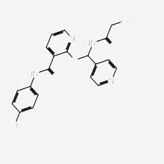 CC(=O)OCC(=O)NC(Sc1ncccc1C(=O)Nc1ccc(C(C)(C)C)cc1)c1ccncc1